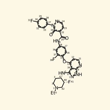 CCN1CC[C@H](Nc2n[nH]c3nccc(Oc4ccc(NC(=O)c5ccnn(-c6ccc(F)cc6)c5=O)cc4F)c23)[C@H](F)C1